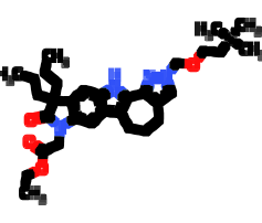 CCCC1(CCC)C(=O)N(CC(=O)OCC)c2cc3c4c([nH]c3cc21)-c1nn(COCC[Si](C)(C)C)cc1CCC4